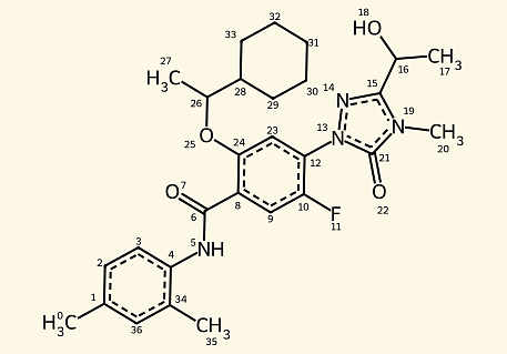 Cc1ccc(NC(=O)c2cc(F)c(-n3nc(C(C)O)n(C)c3=O)cc2OC(C)C2CCCCC2)c(C)c1